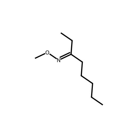 CCCCCC(CC)=NOC